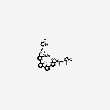 COc1nc(-c2cccc(-c3cccc(-c4ccc(CNCC[C@@H]5CCC(=O)N5)c(OC)n4)c3Cl)c2Cl)ccc1CNCC[C@@H]1CCC(=O)N1